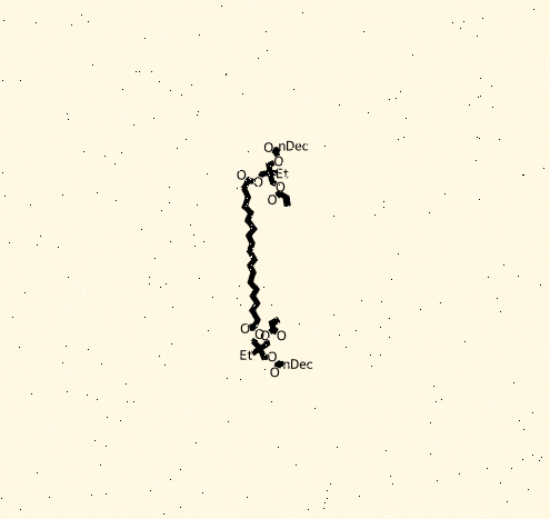 C=CC(=O)OCC(CC)(COC(=O)CCCCCCCCCC)COC(=O)CCCCCCCCCCCCCCCCCCC(=O)OCC(CC)(COC(=O)C=C)COC(=O)CCCCCCCCCC